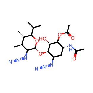 CC(=O)N[C@@H]1CC(N=[N+]=[N-])[C@@H](O[C@H]2OC(C(C)C)[C@@H](C)[C@H](C)C2N=[N+]=[N-])[C@H](O)C1OC(C)=O